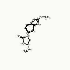 CSc1nc2ccc(N3C[C@H](CN)OC3=O)cc2s1